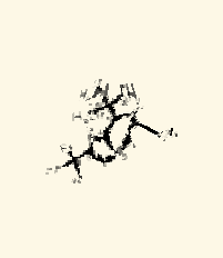 Cc1cn2cc(C(F)(F)F)nc2c(C(C)(C)N)n1